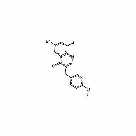 COc1ccc(Cn2cnc3c(I)cc(Br)cc3c2=O)cc1